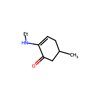 CCNC1=CCC(C)CC1=O